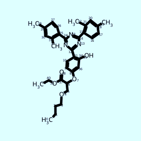 CCCCOCC(Oc1ccc(-c2nc(-c3ccc(C)cc3C)nc(-c3ccc(C)cc3C)n2)c(O)c1)C(=O)OCC